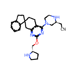 N#CC[C@H]1CN(c2nc(OC[C@@H]3CCCN3)nc3c2CCC2(CCc4ccccc42)C3)CCN1